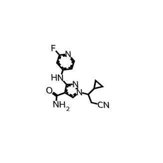 N#CCC(C1CC1)n1cc(C(N)=O)c(Nc2ccnc(F)c2)n1